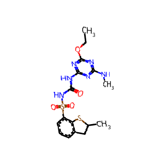 CCOc1nc(NC)nc(NC(=O)NS(=O)(=O)c2cccc3c2SC(C)C3)n1